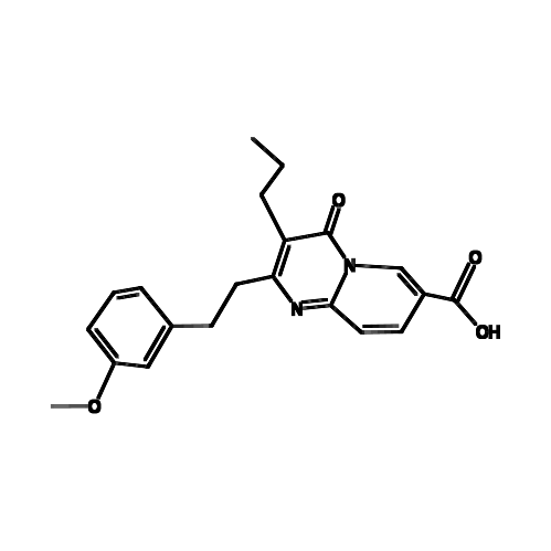 CCCc1c(CCc2cccc(OC)c2)nc2ccc(C(=O)O)cn2c1=O